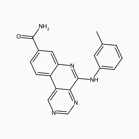 Cc1cccc(Nc2nc3cc(C(N)=O)ccc3c3cncnc23)c1